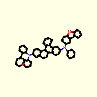 c1ccc(-c2ccccc2N(c2ccccc2)c2ccc3c(ccc4c5ccc(N(c6ccccc6)c6ccc7oc8ccccc8c7c6)cc5c5ccccc5c34)c2)cc1